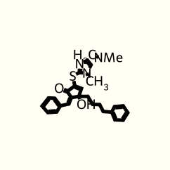 CNC.Cn1ccnc1SC1=CC(O)(CCCCc2ccccc2)C(=Cc2ccccc2)C1=O